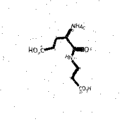 CC(=O)NC(CCC(=O)O)C(=O)NCCC(=O)O